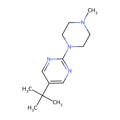 CN1CCN(c2ncc(C(C)(C)C)cn2)CC1